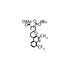 COC(=O)[C@@H]1C[C@]2(CCc3c(c(C)nc4c(C(F)(F)F)cccc34)O2)CN1C(=O)OC(C)(C)C